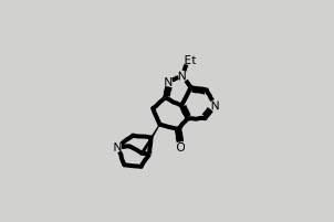 CCn1nc2c3c(cncc31)C(=O)[C@@H](C1CN3CCC1CC3)C2